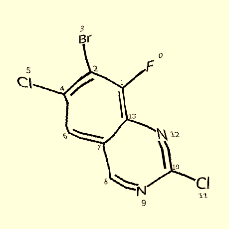 Fc1c(Br)c(Cl)cc2cnc(Cl)nc12